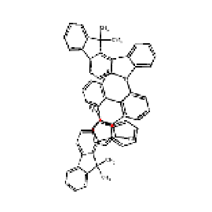 CC1(C)c2ccccc2-c2ccc3c(c21)c1ccccc1n3-c1cccc(C#N)c1-c1c(-c2c(C(F)(F)F)cccc2C(F)(F)F)cccc1-n1c2ccccc2c2c3c(ccc21)-c1ccccc1C3(C)C